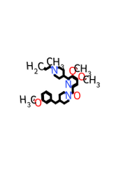 C=CC(C)N1CCC(c2nc(C(=O)N3CCC(Cc4cccc(OC)c4)CC3)cc(OC)c2OC)CC1